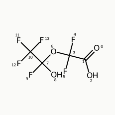 O=C(O)C(F)(F)OC(O)(F)C(F)(F)F